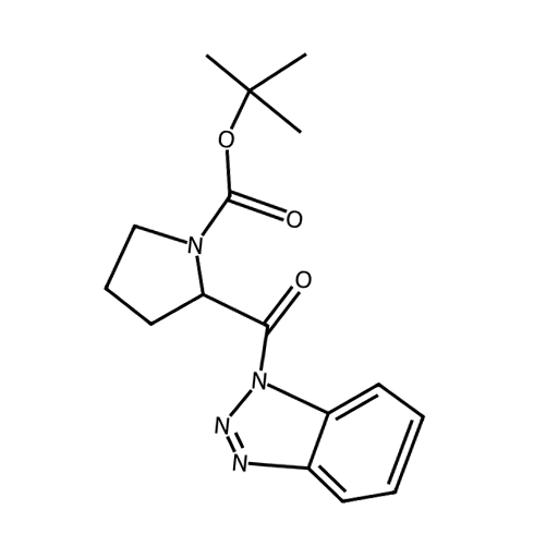 CC(C)(C)OC(=O)N1CCCC1C(=O)n1nnc2ccccc21